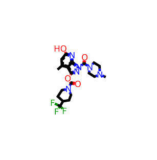 Cc1cc(O)nc2c1c(OC(=O)N1CCC(C(F)(F)F)CC1)nn2C(=O)N1CCN(C)CC1